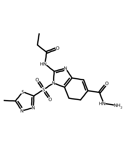 CCC(=O)Nc1nc2c(n1S(=O)(=O)c1nnc(C)s1)CCC(C(=O)NN)=C2